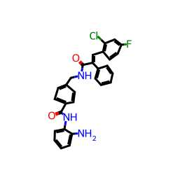 Nc1ccccc1NC(=O)c1ccc(CNC(=O)C(=Cc2ccc(F)cc2Cl)c2ccccc2)cc1